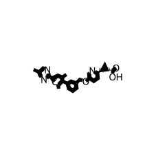 Cc1cnc(-c2cc(C)c(-c3cccc(COc4ccc([C@H]5C[C@@H]5C(=O)O)nc4)c3)c(C)c2)nc1